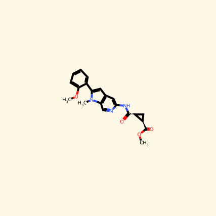 COC(=O)[C@@H]1C[C@H]1C(=O)Nc1cc2cc(-c3ccccc3OC)n(C)c2cn1